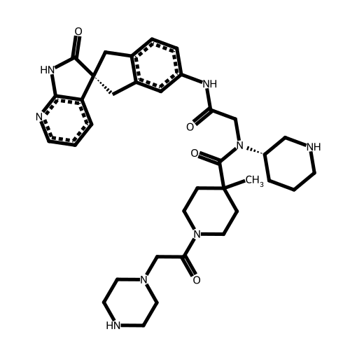 CC1(C(=O)N(CC(=O)Nc2ccc3c(c2)C[C@@]2(C3)C(=O)Nc3ncccc32)[C@H]2CCCNC2)CCN(C(=O)CN2CCNCC2)CC1